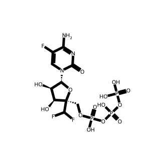 Nc1nc(=O)n([C@@H]2O[C@@](COP(=O)(O)OP(=O)(O)OP(=O)(O)O)(C(F)F)[C@@H](O)[C@H]2O)cc1F